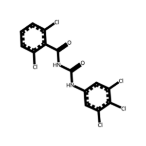 O=C(NC(=O)c1c(Cl)cccc1Cl)Nc1cc(Cl)c(Cl)c(Cl)c1